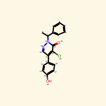 CC(c1ccccc1)n1ncc(-c2ccc(O)cc2)c(Cl)c1=O